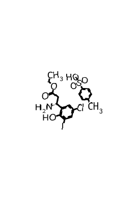 CCOC(=O)C[C@@H](N)c1cc(Cl)cc(I)c1O.Cc1ccc(S(=O)(=O)O)cc1